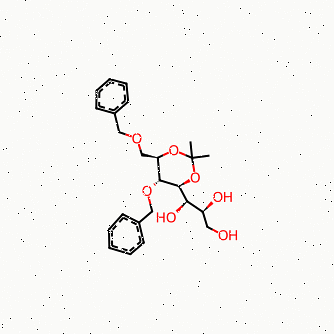 CC1(C)O[C@@H]([C@H](O)[C@@H](O)CO)[C@H](OCc2ccccc2)[C@@H](COCc2ccccc2)O1